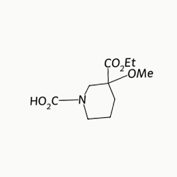 CCOC(=O)C1(OC)CCCN(C(=O)O)C1